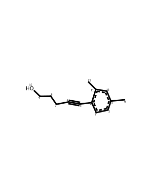 Cc1ccc(C#CCCCO)c(C)c1